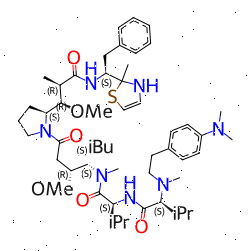 CC[C@H](C)[C@@H]([C@@H](CC(=O)N1CCC[C@H]1[C@H](OC)[C@@H](C)C(=O)N[C@@H](Cc1ccccc1)C1(C)NC=CS1)OC)N(C)C(=O)[C@@H](NC(=O)[C@H](C(C)C)N(C)CCc1ccc(N(C)C)cc1)C(C)C